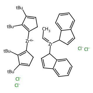 CC(C)(C)C1=CC[C]([Zr+4][C]2=C(C(C)(C)C)C(C(C)(C)C)=CC2)=C1C(C)(C)C.C[CH]=[Zr]([CH]1C=Cc2ccccc21)[CH]1C=Cc2ccccc21.[Cl-].[Cl-].[Cl-].[Cl-]